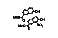 COC(=O)c1ccc2ccc(O)c([N+](=O)[O-])c2c1.COC(=O)c1ccc2ccc(O)cc2c1